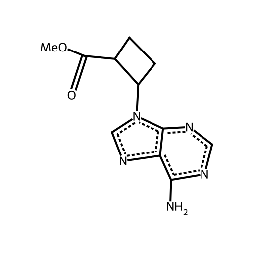 COC(=O)C1CCC1n1cnc2c(N)ncnc21